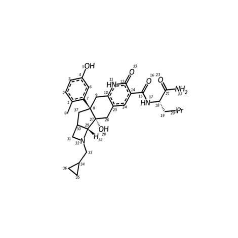 Cc1ccc(O)cc1[C@@]12Cc3[nH]c(=O)c(C(=O)N[C@@H](CC(C)C)C(N)=O)cc3C[C@@]1(O)[C@H]1C(CN1CC1CC1)C2